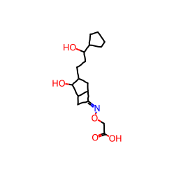 O=C(O)CON=C1CC2C1CC(CCC(O)C1CCCC1)C2O